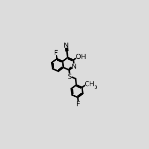 Cc1cc(F)ccc1CSc1nc(O)c(C#N)c2c(F)cccc12